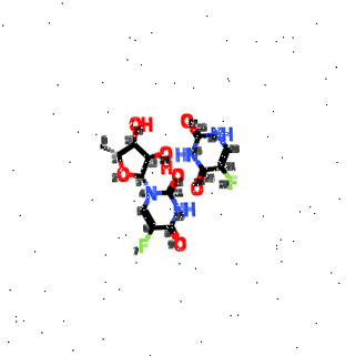 C[C@H]1O[C@@H](n2cc(F)c(=O)[nH]c2=O)[C@H](O)[C@@H]1O.O=c1[nH]cc(F)c(=O)[nH]1